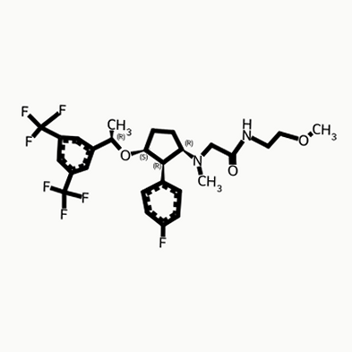 COCCNC(=O)CN(C)[C@@H]1CC[C@H](O[C@H](C)c2cc(C(F)(F)F)cc(C(F)(F)F)c2)[C@@H]1c1ccc(F)cc1